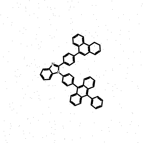 C1=Cc2cc(-c3ccc(-c4nc5ccccc5n4-c4ccc(-c5c6ccccc6c(-c6ccccc6)c6ccccc56)cc4)cc3)c3ccccc3c2CC1